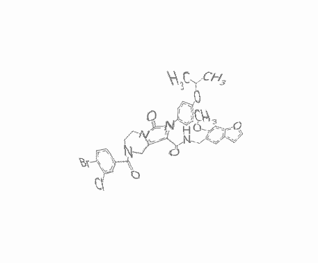 COc1cc2occc2cc1CNC(=O)c1c2n(c(=O)n1-c1ccc(OC(C)C)cc1)CCN(C(=O)c1ccc(Br)c(Cl)c1)C2